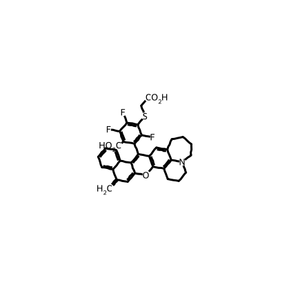 C=c1cc2c(c3ccccc13)=C(c1c(F)c(SCC(=O)O)c(F)c(F)c1C(=O)O)c1cc3c4c(c1O2)CCCN4CCCC3